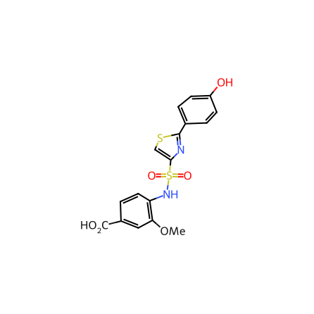 COc1cc(C(=O)O)ccc1NS(=O)(=O)c1csc(-c2ccc(O)cc2)n1